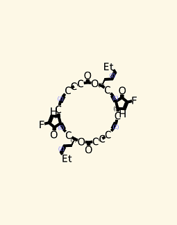 CC/C=C\C[C@H]1C/C=C2/C(=O)C(F)=C[C@@H]2C/C=C\CCCC(=O)O[C@@H](C/C=C\CC)C/C=C2/C(=O)C(F)=C[C@@H]2C/C=C\CCCC(=O)O1